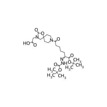 CC(C)(C)OC(=O)NN=C(CCCCC(=O)N1CCC2(CC1)CN(CC(=O)O)C(=O)O2)C(=O)OC(C)(C)C